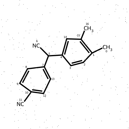 Cc1ccc(C(C#N)c2ccc(C#N)cc2)cc1C